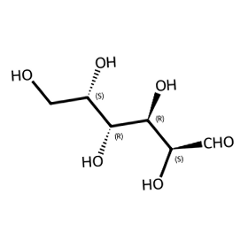 O=C[C@@H](O)[C@H](O)[C@H](O)[C@@H](O)CO